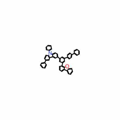 c1ccc(-c2ccc(-c3cc(-c4ccc5c(c4)c4cc(-c6ccccc6)ccc4n5-c4ccccc4)cc(-c4cccc5c4oc4ccccc45)c3)cc2)cc1